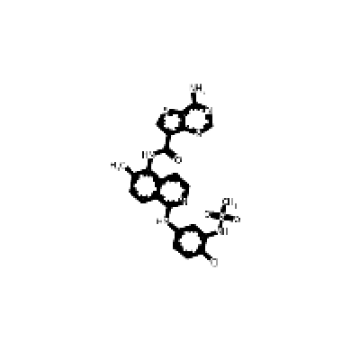 Cc1ccc2c(Nc3ccc(Cl)c(NS(C)(=O)=O)c3)nccc2c1NC(=O)c1csc2c(N)ncnc12